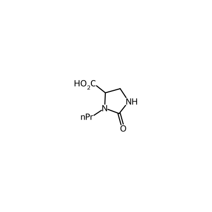 CCCN1C(=O)NCC1C(=O)O